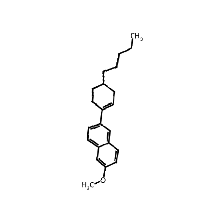 CCCCCC1CC=C(c2ccc3cc(OC)ccc3c2)CC1